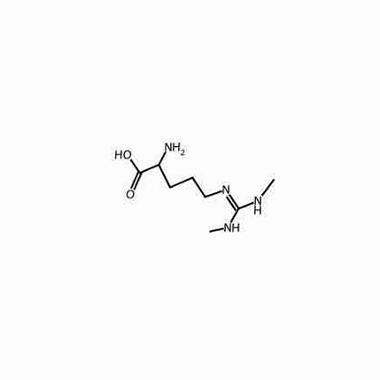 CNC(=NCCCC(N)C(=O)O)NC